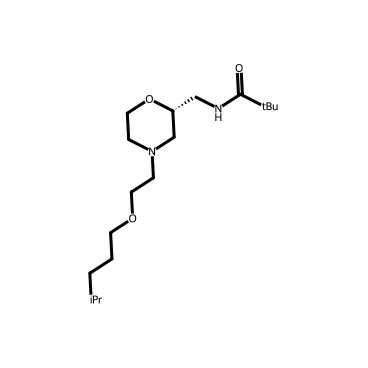 CC(C)CCCOCCN1CCO[C@H](CNC(=O)C(C)(C)C)C1